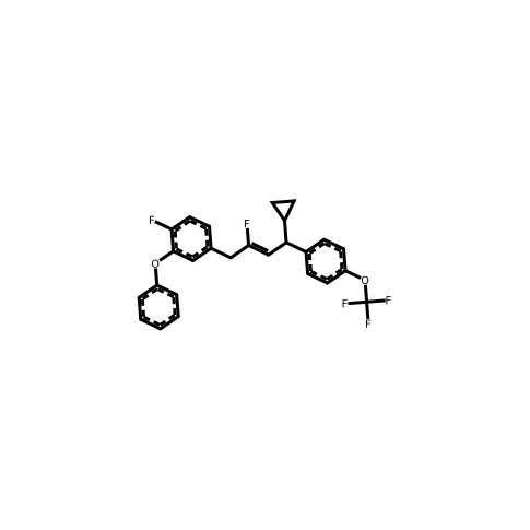 FC(=CC(c1ccc(OC(F)(F)F)cc1)C1CC1)Cc1ccc(F)c(Oc2ccccc2)c1